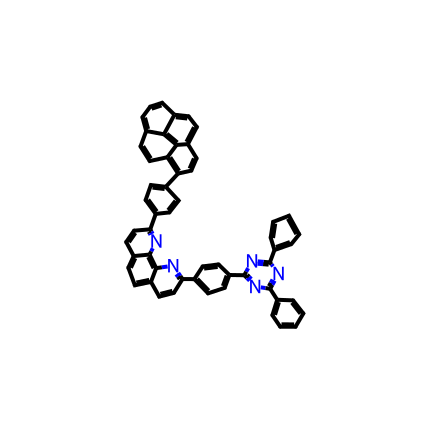 c1ccc(-c2nc(-c3ccccc3)nc(-c3ccc(-c4ccc5ccc6ccc(-c7ccc(-c8ccc9ccc%10cccc%11ccc8c9c%10%11)cc7)nc6c5n4)cc3)n2)cc1